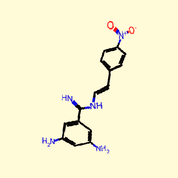 N=C(N/C=C/c1ccc([N+](=O)[O-])cc1)c1cc(N)cc(N)c1